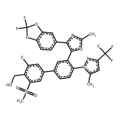 Cc1nc(-c2ccc3c(c2)OC(F)(F)O3)c(-c2cc(-c3cc(F)c(CO)c(S(C)(=O)=O)c3)ccc2-n2nc(C(F)(F)F)cc2C)o1